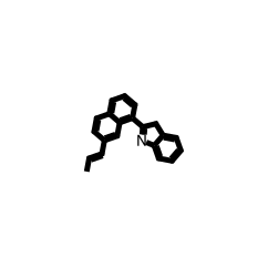 C/C=C/c1ccc2cccc(C3=Nc4ccccc4C3)c2c1